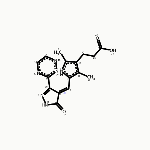 Cc1[nH]c(/C=C2/C(=O)NN=C2c2nccnn2)c(C)c1CCC(=O)O